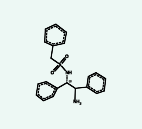 NC(c1ccccc1)[C@@H](NS(=O)(=O)Cc1ccccc1)c1ccccc1